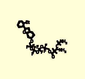 CCc1ccccc1-c1cc2ccc(OCC(F)(F)OC(F)(F)OC(F)(F)OC(F)(F)COC(=O)C(C)(C)C(N)CC(C)(C)N)cc2o1